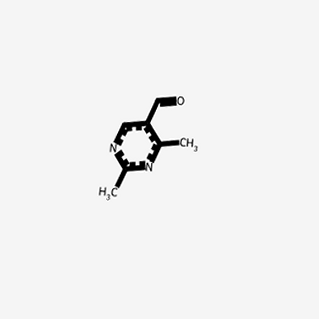 Cc1ncc(C=O)c(C)n1